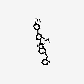 Cc1ccc(-c2ccc(-c3nc4ccn(Cc5ccccn5)cc-4n3)c(C)c2)cc1